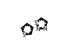 c1ccsc1.c1csnn1